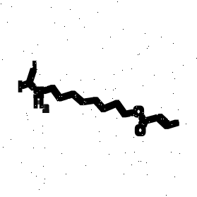 CC=CC(=O)OCCCCCCCC[SiH2]C(I)I